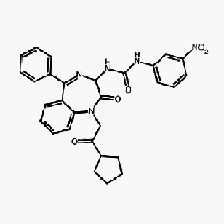 O=C(Nc1cccc([N+](=O)[O-])c1)NC1N=C(c2ccccc2)c2ccccc2N(CC(=O)C2CCCC2)C1=O